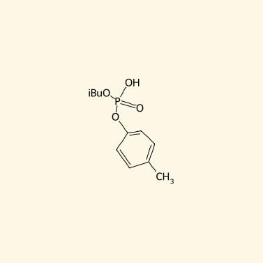 Cc1ccc(OP(=O)(O)OCC(C)C)cc1